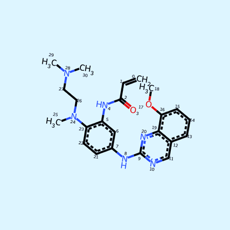 C=CC(=O)Nc1cc(Nc2ncc3cccc(OC)c3n2)ccc1N(C)CCN(C)C